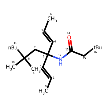 CC=CC(C=CC)(CC(C)(C)CCCC)NC(=O)CC(C)(C)C